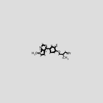 CC(C)C[C@@H](C)COc1ccc(-c2ncnc3c2ccn3C)cc1F